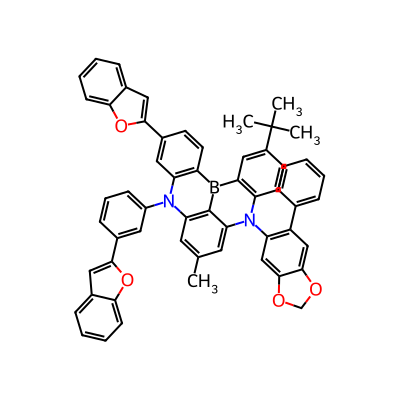 Cc1cc2c3c(c1)N(c1cc4c(cc1-c1ccccc1)OCO4)c1ccc(C(C)(C)C)cc1B3c1ccc(-c3cc4ccccc4o3)cc1N2c1cccc(-c2cc3ccccc3o2)c1